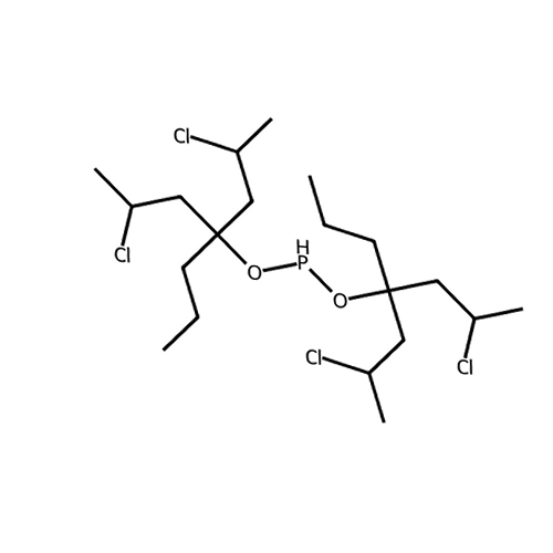 CCCC(CC(C)Cl)(CC(C)Cl)OPOC(CCC)(CC(C)Cl)CC(C)Cl